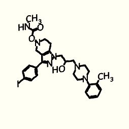 CNC(=O)ON1CCc2c(c(-c3ccc(I)cc3)nn2CC(O)CN2CCN(c3ccccc3C)CC2)C1